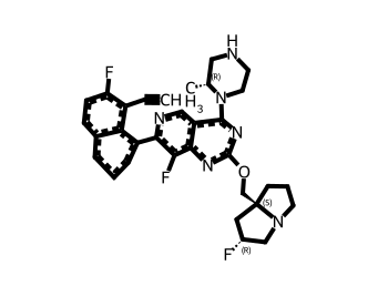 C#Cc1c(F)ccc2cccc(-c3ncc4c(N5CCNC[C@H]5C)nc(OC[C@@]56CCCN5C[C@H](F)C6)nc4c3F)c12